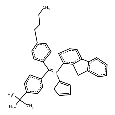 CCCCc1ccc(/[C](c2ccc(C(C)(C)C)cc2)=[Hf](/[C]2=CC=CC2)[c]2cccc3c2Cc2ccccc2-3)cc1